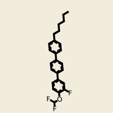 CCCCCCc1ccc(-c2ccc(-c3ccc(OC(F)F)c(F)c3)cc2)cc1